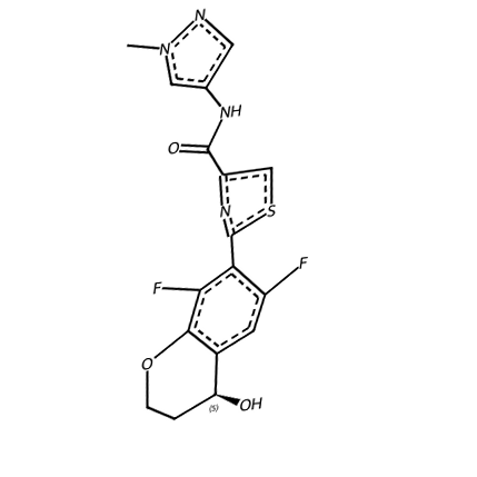 Cn1cc(NC(=O)c2csc(-c3c(F)cc4c(c3F)OCC[C@@H]4O)n2)cn1